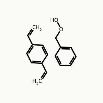 C=Cc1ccc(C=C)cc1.OOCc1ccccc1